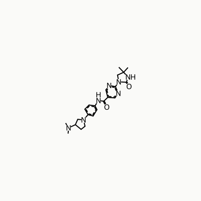 CN(C)C1CCN(c2ccc(NC(=O)c3cnc(N4CC(C)(C)NC4=O)nc3)cc2)C1